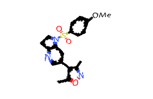 COc1ccc(S(=O)(=O)n2ccc3ncc(-c4c(C)noc4C)cc32)cc1